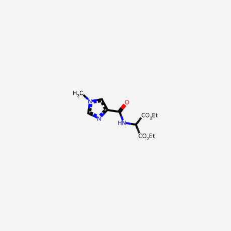 CCOC(=O)C(NC(=O)c1cn(C)cn1)C(=O)OCC